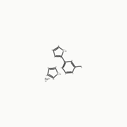 Cc1cccc(-c2ccc[cH-]2)c1.[Fe+2].c1cc[cH-]c1